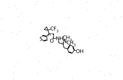 CN(C)[C@H](CNC(=O)C[C@@H](c1ccsc1)C1(C(F)(F)F)CC1)Cc1ccc(O)cc1